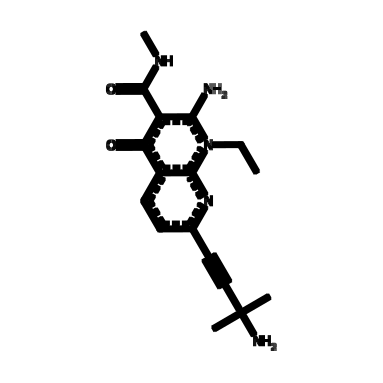 CCn1c(N)c(C(=O)NC)c(=O)c2ccc(C#CC(C)(C)N)nc21